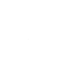 CCOC(=O)C(F)(F)CCCOc1ccccc1